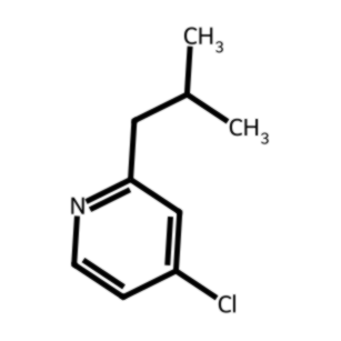 CC(C)Cc1cc(Cl)ccn1